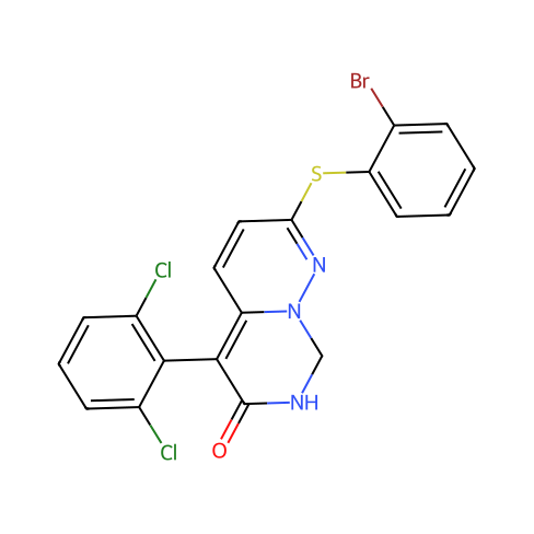 O=C1NCN2N=C(Sc3ccccc3Br)C=CC2=C1c1c(Cl)cccc1Cl